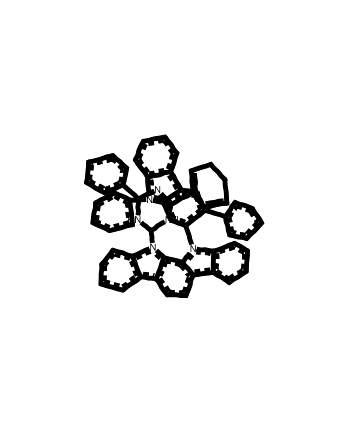 C1=CC(C2=NC(c3ccccc3)NC(n3c4ccccc4c4ccc5c6ccccc6n(-c6cc7c(cc6-c6ccccc6)c6ccccc6n7-c6ccccc6)c5c43)N2)=CCC1